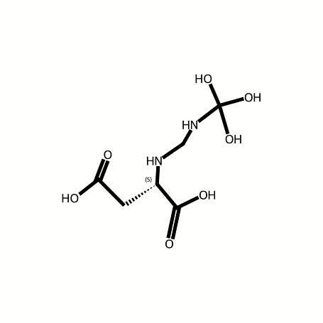 O=C(O)C[C@H](NCNC(O)(O)O)C(=O)O